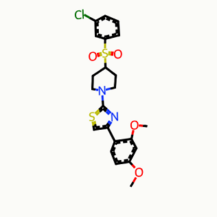 COc1ccc(-c2csc(N3CCC(S(=O)(=O)c4cccc(Cl)c4)CC3)n2)c(OC)c1